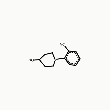 N#Cc1ccccc1N1CCC(O)CC1